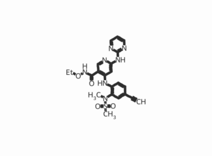 C#Cc1ccc(Nc2cc(Nc3ncccn3)ncc2C(=O)NOCC)c(N(C)S(C)(=O)=O)c1